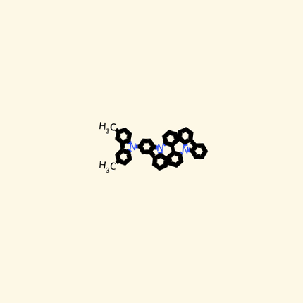 Cc1ccc2c(c1)c1cc(C)ccc1n2-c1ccc2c(c1)c1ccccc1n2-c1ccccc1-c1ccccc1-n1c2ccccc2c2ccccc21